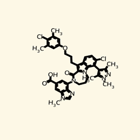 Cc1cc(OCCCc2c3n(c4c(-c5c(C)nn(C)c5C)c(Cl)ccc24)CCCN(c2cc(C(=O)O)cc4c2ncn4C)C3=O)cc(C)c1Cl